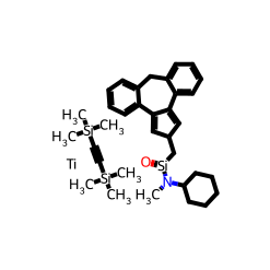 CN(C1CCCCC1)[Si](=O)CC1C=C2C(=C1)c1ccccc1Cc1ccccc12.C[Si](C)(C)C#C[Si](C)(C)C.[Ti]